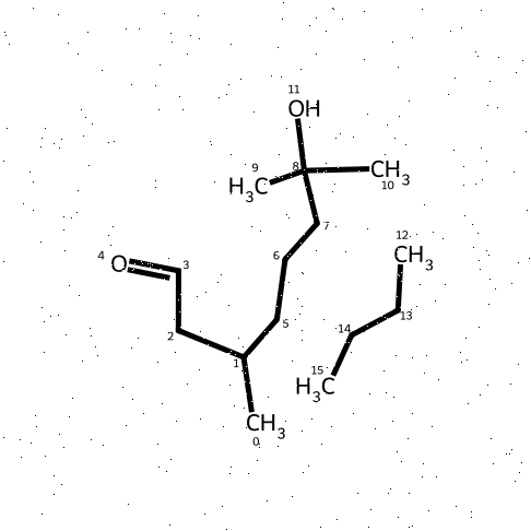 CC(CC=O)CCCC(C)(C)O.CCCC